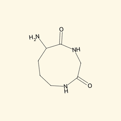 NC1CCCNC(=O)CNC1=O